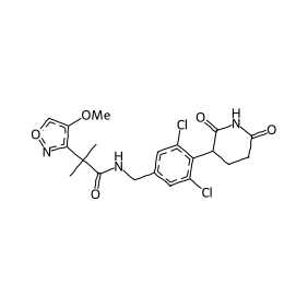 COc1conc1C(C)(C)C(=O)NCc1cc(Cl)c(C2CCC(=O)NC2=O)c(Cl)c1